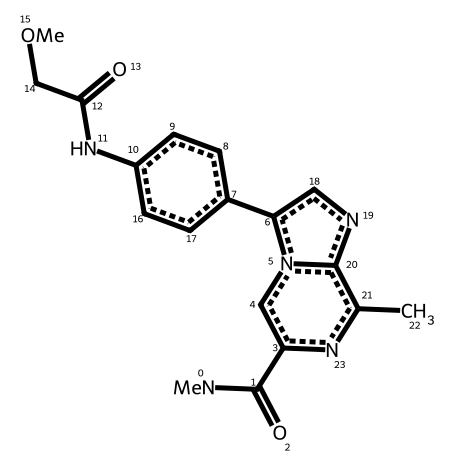 CNC(=O)c1cn2c(-c3ccc(NC(=O)COC)cc3)cnc2c(C)n1